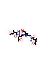 CC(=O)CC(C)CC(=O)NCCCC(CC=O)NC(=O)CC(CC(C)=O)NC(=O)CC(C)CC(C)=O